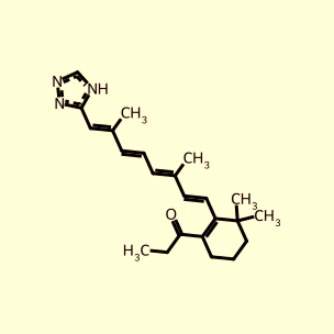 CCC(=O)C1=C(/C=C/C(C)=C/C=C/C(C)=C/c2nnc[nH]2)C(C)(C)CCC1